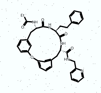 CCC(=O)N[C@H]1Cc2cccc(c2)Oc2cccc(c2)C[C@@H](C(=O)NCc2ccccn2)NC(=O)[C@H](CCc2ccccc2)NC1=O